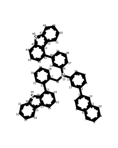 c1cc(-c2ccc3ccccc3c2)cc(N(Cc2ccccc2-c2cccc3c2sc2ccccc23)c2cccc(-c3cccc4sc5ccccc5c34)c2)c1